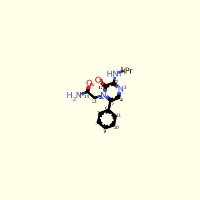 CC(C)Nc1ncc(-c2ccccc2)n(CC(N)=O)c1=O